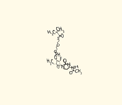 CC[C@H]1O[C@@H](n2ccc(NC(C)=O)nc2=O)[C@@H](F)C1OPOCCOCCSC(=O)C(C)C